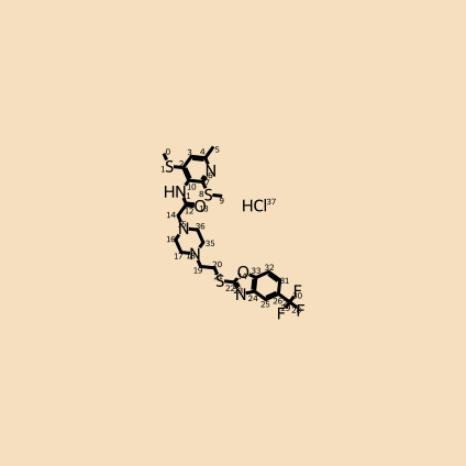 CSc1cc(C)nc(SC)c1NC(=O)CN1CCN(CCSc2nc3cc(C(F)(F)F)ccc3o2)CC1.Cl